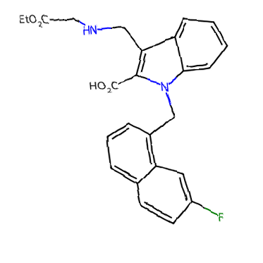 CCOC(=O)CNCc1c(C(=O)O)n(Cc2cccc3ccc(F)cc23)c2ccccc12